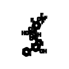 CC(C)(O)C(NC(=O)c1cnn2c(O)cc(-c3ccccn3)nc12)c1ccc(OC(F)(F)F)c(F)c1